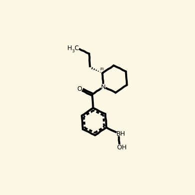 CCC[C@@H]1CCCCN1C(=O)c1cccc(BO)c1